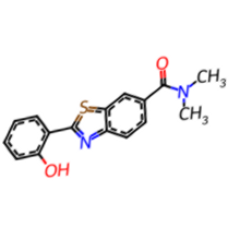 CN(C)C(=O)c1ccc2nc(-c3ccccc3O)sc2c1